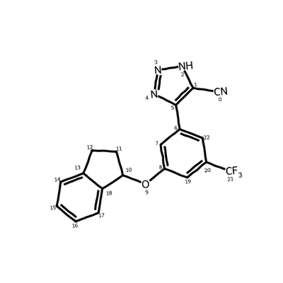 N#Cc1[nH]nnc1-c1cc(OC2CCc3ccccc32)cc(C(F)(F)F)c1